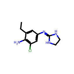 CCc1cc(N=C2NCCN2)cc(Cl)c1N